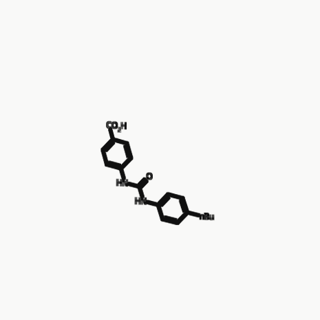 CCCCc1ccc(NC(=O)Nc2ccc(C(=O)O)cc2)cc1